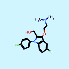 CN(C)CCOc1c(CO)n(-c2ccc(F)cc2)c2ccc(Cl)cc12